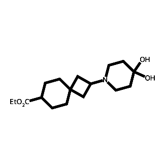 CCOC(=O)C1CCC2(CC1)CC(N1CCC(O)(O)CC1)C2